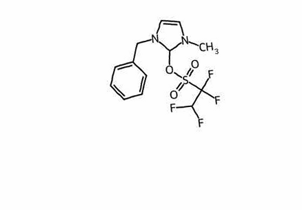 CN1C=CN(Cc2ccccc2)C1OS(=O)(=O)C(F)(F)C(F)F